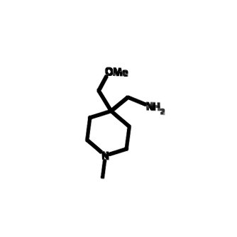 COCC1(CN)CCN(C)CC1